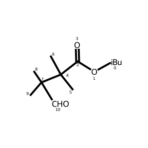 CCC(C)OC(=O)C(C)(C)C(C)(C)C=O